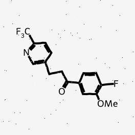 COc1cc(C(=O)CCc2ccc(C(F)(F)F)nc2)ccc1F